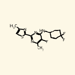 Cc1csc(-c2nc(C)c(F)c(NC3CCC(F)(F)CC3)n2)n1